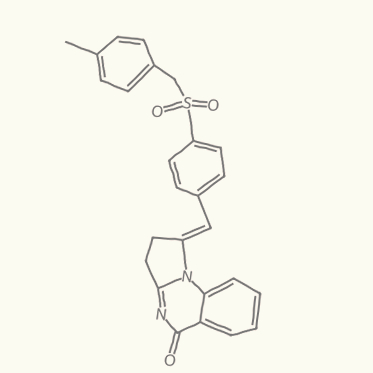 Cc1ccc(CS(=O)(=O)c2ccc(C=C3CCc4nc(=O)c5ccccc5n43)cc2)cc1